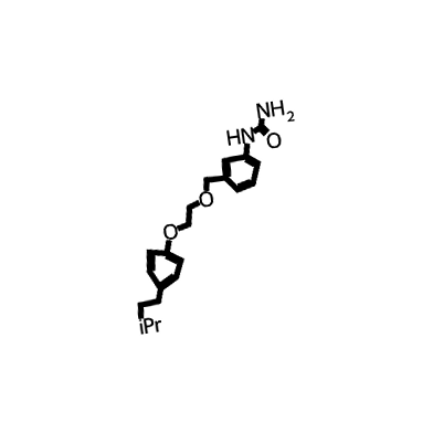 CC(C)CCc1ccc(OCCOCc2cccc(NC(N)=O)c2)cc1